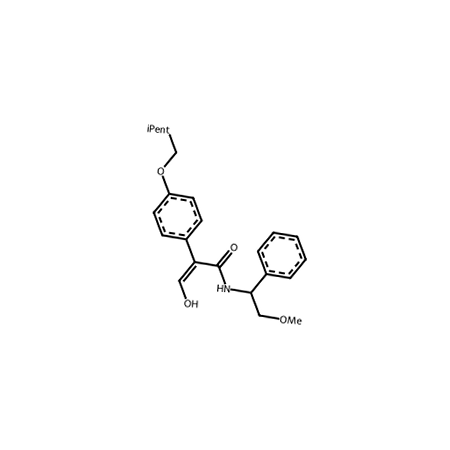 CCCC(C)COc1ccc(C(=CO)C(=O)NC(COC)c2ccccc2)cc1